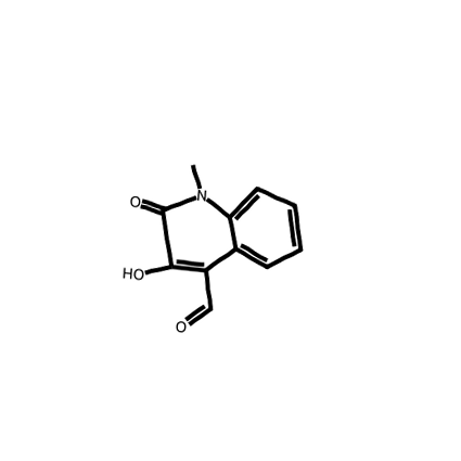 Cn1c(=O)c(O)c(C=O)c2ccccc21